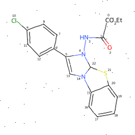 CCOC(=O)C(=O)NN1C(c2ccc(Cl)cc2)=CN2c3ccccc3SC12